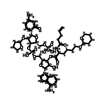 C=CCCC(=O)NC(CCCCOC1CCCCO1)C(=O)O[C@H]1[C@@H](O)[C@H](n2cnc3c(N)ncnc32)O[C@H]1COP(=O)(O)O[C@H]1[C@@H](OC2CCCO2)[C@H](n2ccc(N)nc2=O)O[C@@H]1COP(=O)(O)O